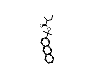 CCC(C)C(=O)OC(C)(C)c1ccc2cc3ccccc3cc2c1